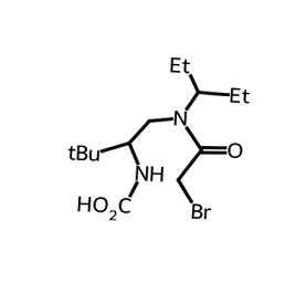 CCC(CC)N(CC(NC(=O)O)C(C)(C)C)C(=O)CBr